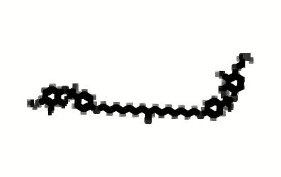 CCOc1ccc(OC(F)(F)c2ccc(OCCCCCCCC(=O)CCCCCCCOc3ccc(C(F)(F)Oc4ccc(C)c(F)c4F)cc3)cc2)c(F)c1F